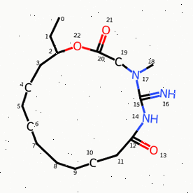 CCC1CCCCCCCCCC(=O)NC(=N)N(C)CC(=O)O1